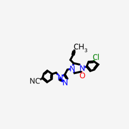 CC#CCC1CN(c2cccc(Cl)c2)C(=O)CN1Cc1cncn1Cc1ccc(C#N)cc1